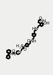 CN(C(=O)CCN1CCC(OC(=O)Nc2ccccc2-c2ccccc2)CC1)c1ccc(CC(=O)NCCc2ccc(CCNCCc3ccc(O)c4[nH]c(=O)ccc34)cc2)cc1